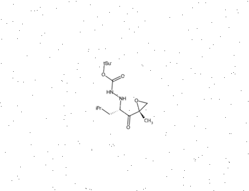 CC(C)C[C@H](NNC(=O)OC(C)(C)C)C(=O)[C@@]1(C)CO1